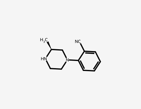 C[C@H]1CN(c2ccccc2C#N)CCN1